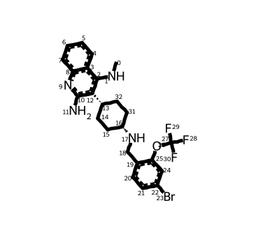 CNc1c2ccccc2nc(N)c1[C@H]1CC[C@@H](NCc2ccc(Br)cc2OC(F)(F)F)CC1